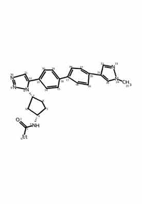 CCC(=O)N[C@H]1CC[C@@H](n2nncc2-c2ccc(-c3ccc(-c4cnn(C)c4)cc3)cc2)C1